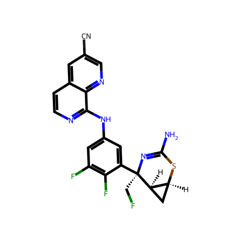 N#Cc1cnc2c(Nc3cc(F)c(F)c([C@@]4(CF)N=C(N)S[C@H]5C[C@H]54)c3)nccc2c1